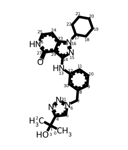 CC(C)(O)c1cn(Cc2cccc(Nc3nn(C4CCCCC4)c4cc[nH]c(=O)c34)c2)nn1